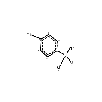 Cl[Si](Cl)(Cl)c1ccc(I)cc1